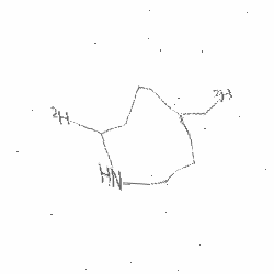 [2H]C1CCNC([2H])C1